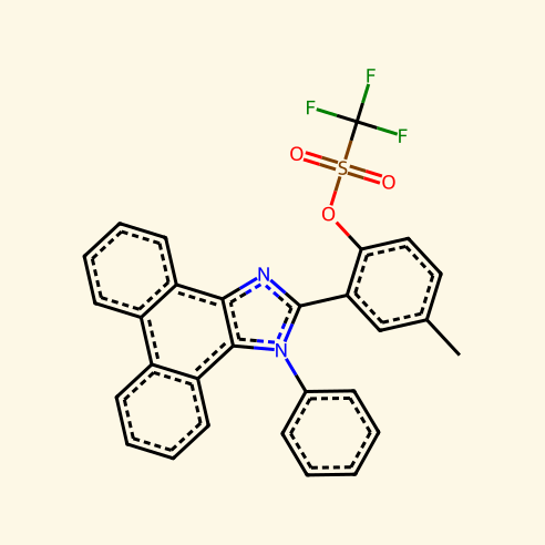 Cc1ccc(OS(=O)(=O)C(F)(F)F)c(-c2nc3c4ccccc4c4ccccc4c3n2-c2ccccc2)c1